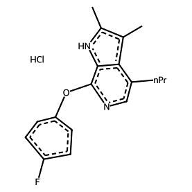 CCCc1cnc(Oc2ccc(F)cc2)c2[nH]c(C)c(C)c12.Cl